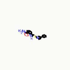 NC(=O)c1cccc2c(CSCCN3CC=C(c4ccccc4)CC3)c[nH]c12